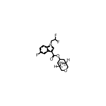 O=C(OC1C[C@H]2COC[C@@H](C1)N2)c1cn(CC(F)F)c2ccc(F)cc12